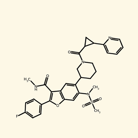 CNC(=O)c1c(-c2ccc(F)cc2)oc2cc(N(C)S(C)(=O)=O)c(C3CCCN(C(=O)C4CC4c4ccccn4)C3)cc12